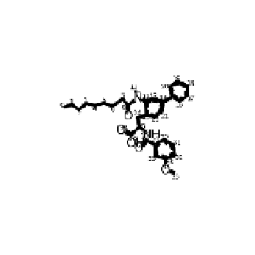 CCCCCCCCC(=O)N(C)c1cc(-c2ccccc2)ccc1CC(NC(=O)c1cccc(OC)c1)C(=O)O